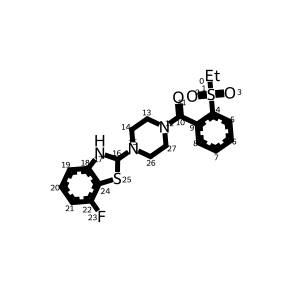 CCS(=O)(=O)c1ccccc1C(=O)N1CCN(C2Nc3cccc(F)c3S2)CC1